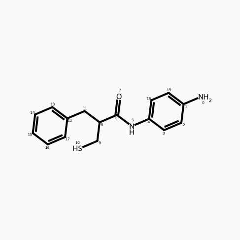 Nc1ccc(NC(=O)C(CS)Cc2ccccc2)cc1